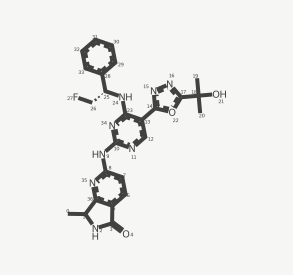 CC1NC(=O)c2ccc(Nc3ncc(-c4nnc(C(C)(C)O)o4)c(N[C@H](CF)c4ccccc4)n3)nc21